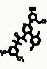 Cc1ccc(F)cc1-c1cc(N2C[C@H](O)C[C@H]2CO)ncc1N(C)C(=O)C(C)(C)c1cc(C(F)(F)F)cc(C(F)(F)F)c1